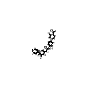 CC(=O)N1CCN(c2ccc(NC(=O)CC3=CNC(C)(c4ccncc4)C(C)=C3)nc2)CC1C